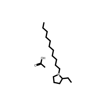 CC(=O)O.CCCCCCCCCCCN1CCCC1CC